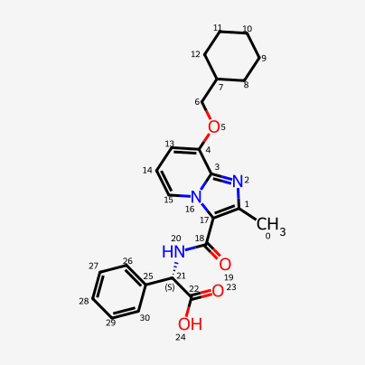 Cc1nc2c(OCC3CCCCC3)cccn2c1C(=O)N[C@H](C(=O)O)c1ccccc1